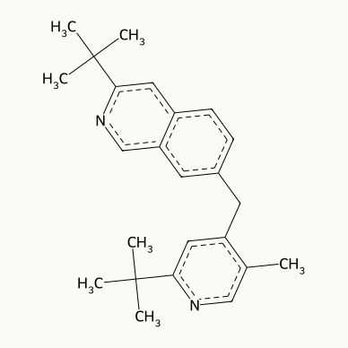 Cc1cnc(C(C)(C)C)cc1Cc1ccc2cc(C(C)(C)C)ncc2c1